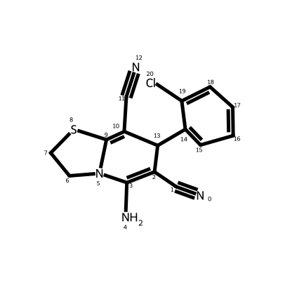 N#CC1=C(N)N2CCSC2=C(C#N)C1c1ccccc1Cl